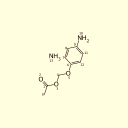 CC(=O)OCOc1ccc(N)cc1.N